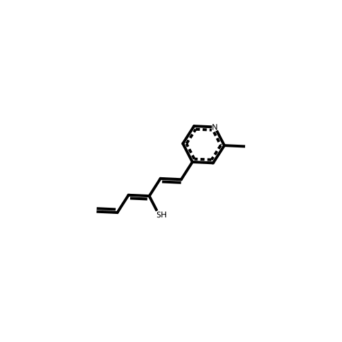 C=C/C=C(S)/C=C/c1ccnc(C)c1